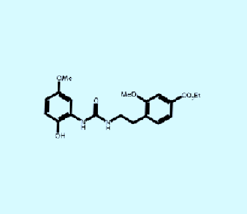 CCOC(=O)c1ccc(CCNC(=O)Nc2cc(OC)ccc2O)c(OC)c1